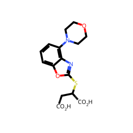 O=C(O)CC(Sc1nc2c(N3CCOCC3)cccc2o1)C(=O)O